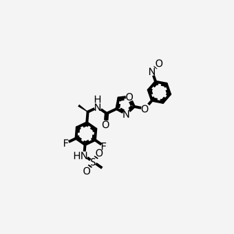 C[C@@H](NC(=O)c1coc(Oc2cccc(N=O)c2)n1)c1cc(F)c(NS(C)(=O)=O)c(F)c1